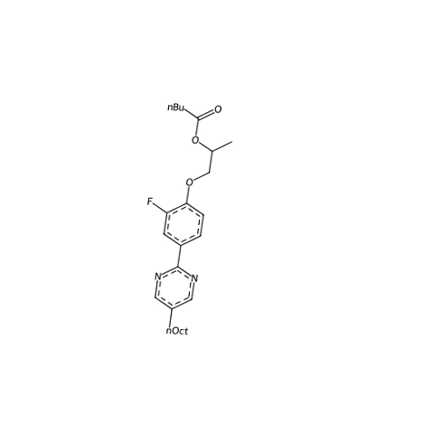 CCCCCCCCc1cnc(-c2ccc(OCC(C)OC(=O)CCCC)c(F)c2)nc1